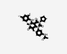 CC(=S)Nc1cccc(-n2c(=O)n(C3CCCC3)c(=O)c3c(Nc4ccc(I)cc4F)n(C)c(=O)c(C)c32)c1